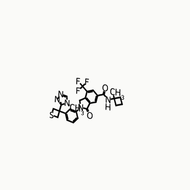 Cn1cnnc1C1(c2cccc(N3Cc4c(cc(C(=O)NC5(C)CCC5)cc4C(F)(F)F)C3=O)c2)CSC1